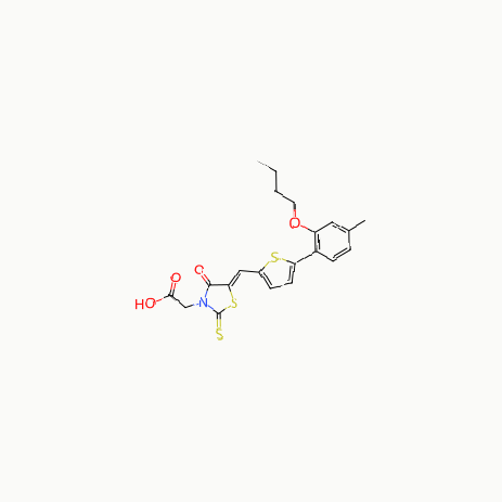 CCCCOc1cc(C)ccc1-c1ccc(/C=C2\SC(=S)N(CC(=O)O)C2=O)s1